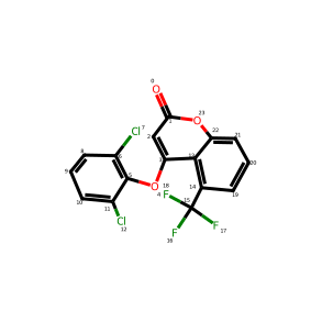 O=c1cc(Oc2c(Cl)cccc2Cl)c2c(C(F)(F)F)cccc2o1